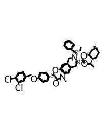 CC[C@@H](c1ccccc1)N1Cc2cc3c(cc2C[C@H]1C(=O)O[C@@H]1C[C@H](C)CC[C@H]1C(C)C)N(C)C(=O)[C@H](c1ccc(OCc2ccc(Cl)c(Cl)c2)cc1)O3